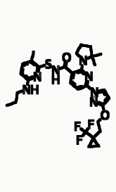 CCCNc1ccc(C)c(SNC(=O)c2ccc(-n3ccc(OCCC4(C(F)(F)F)CC4)n3)nc2N2CCCC2(C)C)n1